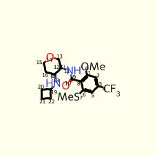 COc1cc(C(F)(F)F)cc(SC)c1C(=O)N[C@@H]1COCC[C@@H]1NC1CCC1